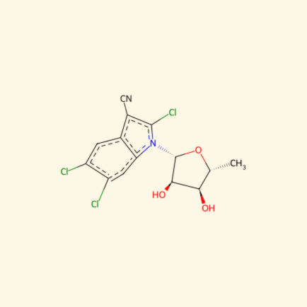 C[C@H]1O[C@@H](n2c(Cl)c(C#N)c3cc(Cl)c(Cl)cc32)[C@H](O)[C@@H]1O